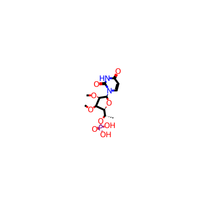 COC1[C@@H]([C@H](C)OP(=O)(O)O)O[C@@H](n2ccc(=O)[nH]c2=O)[C@H]1OC